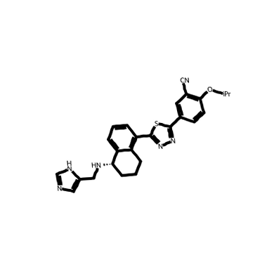 CC(C)Oc1ccc(-c2nnc(-c3cccc4c3CCC[C@@H]4NCc3cnc[nH]3)s2)cc1C#N